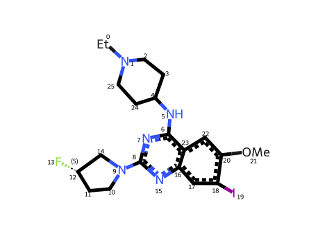 CCN1CCC(Nc2nc(N3CC[C@H](F)C3)nc3cc(I)c(OC)cc23)CC1